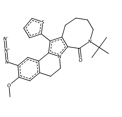 COc1cc2c(cc1N=[N+]=[N-])-c1c(-c3cccs3)c3c(n1CC2)C(=O)N(C(C)(C)C)CCCC3